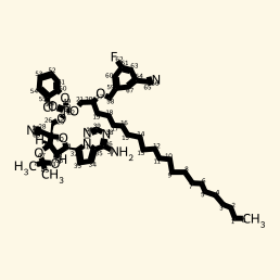 CCCCCCCCCCCCCCCCCCCCC(COP(=O)(OC[C@@]1(C#N)O[C@@H](c2ccc3c(N)ncnn23)[C@@H]2OC(C)(C)O[C@@H]21)Oc1ccccc1Cl)OCc1cc(F)cc(C#N)c1